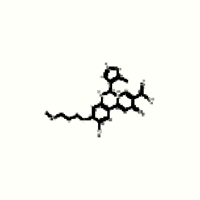 COCCCOc1cc2c(cc1Cl)-c1cc(=O)c(C(=O)O)cn1C(c1cnsc1C)O2